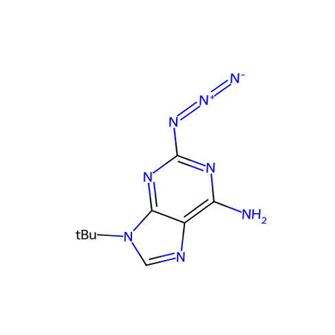 CC(C)(C)n1cnc2c(N)nc(N=[N+]=[N-])nc21